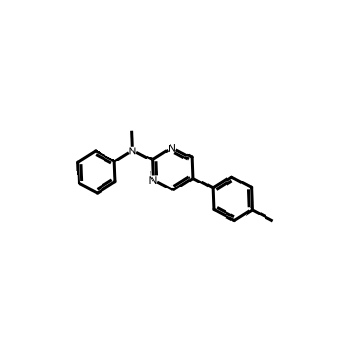 Cc1ccc(-c2cnc(N(C)c3ccccc3)nc2)cc1